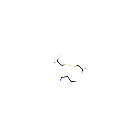 N[C@@H](CCC(=O)O)C(=O)O.N[C@@H](CSSC[C@H](N)C(=O)O)C(=O)O